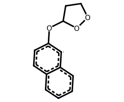 [c]1c(OC2CCOO2)ccc2ccccc12